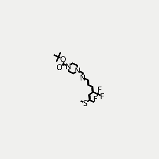 CS/C(C)=C/C(=C\C=C\N=C\N1CCN(C(=O)OC(C)(C)C)CC1)C(F)(F)F